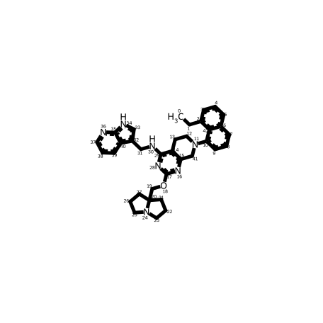 CCc1cccc2cccc(N3CCc4c(nc(OCC56CCCN5CCC6)nc4NCc4c[nH]c5ncccc45)C3)c12